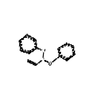 C=CP(Oc1ccccc1)Oc1ccccc1